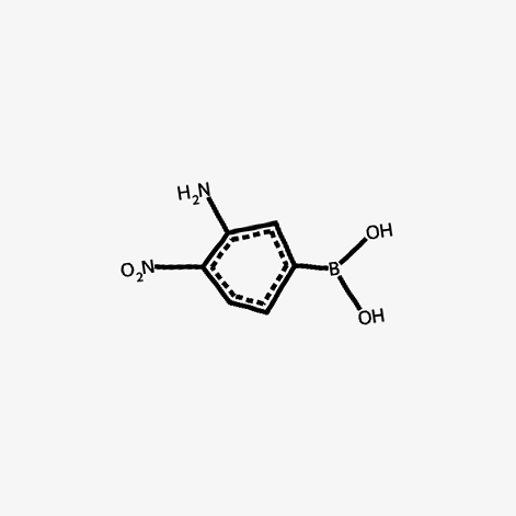 Nc1cc(B(O)O)ccc1[N+](=O)[O-]